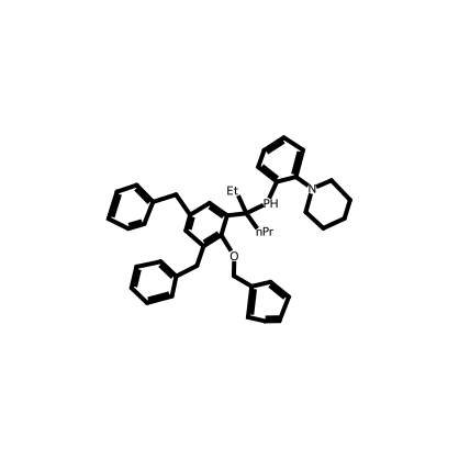 CCCC(CC)(Pc1ccccc1N1CCCCC1)c1cc(Cc2ccccc2)cc(Cc2ccccc2)c1OCc1ccccc1